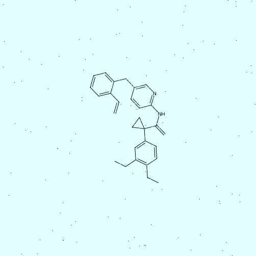 C=Cc1ccccc1Cc1ccc(NC(=C)C2(c3ccc(CC)c(CC)c3)CC2)nc1